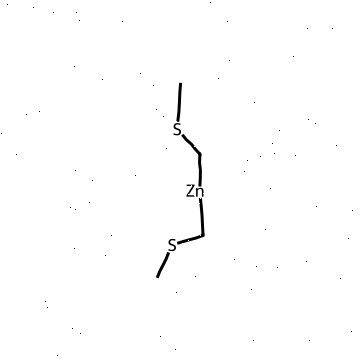 CS[CH2][Zn][CH2]SC